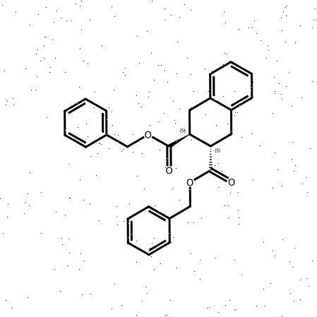 O=C(OCc1ccccc1)[C@H]1Cc2ccccc2C[C@@H]1C(=O)OCc1ccccc1